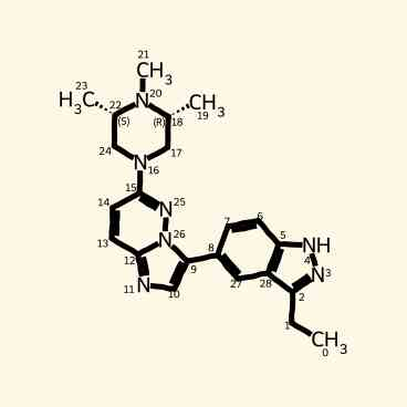 CCc1n[nH]c2ccc(-c3cnc4ccc(N5C[C@@H](C)N(C)[C@@H](C)C5)nn34)cc12